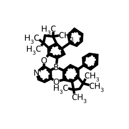 CC1(C)CC(C)(C)c2c3c(cc(-c4ccccc4)c21)B1c2cc(-c4ccccc4)c4c(c2Oc2nccc(c21)O3)C(C)(C)CC4(C)C